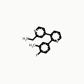 Cc1cc(-c2ncccc2-c2ccnc(CN)c2)ccc1F